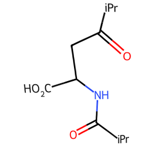 CC(C)C(=O)CC(NC(=O)C(C)C)C(=O)O